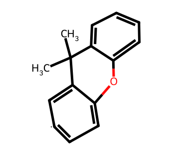 CC1(C)c2c[c]ccc2Oc2ccccc21